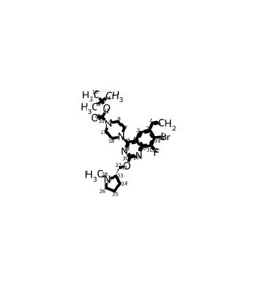 C=Cc1cc2c(N3CCN(C(=O)OC(C)(C)C)CC3)nc(OC[C@@H]3CCCN3C)nc2c(F)c1Br